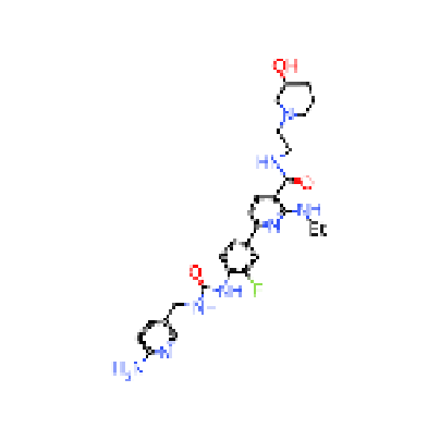 CCNc1nc(-c2ccc(NC(=O)NCc3ccc(N)nc3)c(F)c2)ccc1C(=O)NCCN1CCCC(O)C1